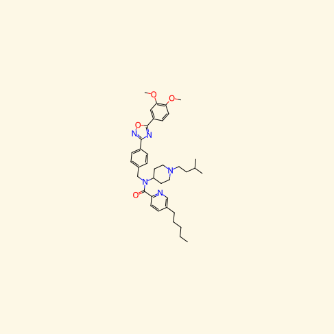 CCCCCc1ccc(C(=O)N(Cc2ccc(-c3noc(-c4ccc(OC)c(OC)c4)n3)cc2)C2CCN(CCC(C)C)CC2)nc1